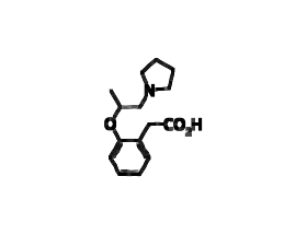 CC(CN1CCCC1)Oc1ccccc1CC(=O)O